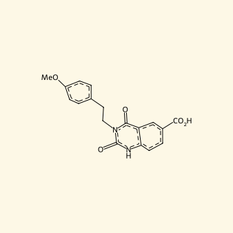 COc1ccc(CCn2c(=O)[nH]c3ccc(C(=O)O)cc3c2=O)cc1